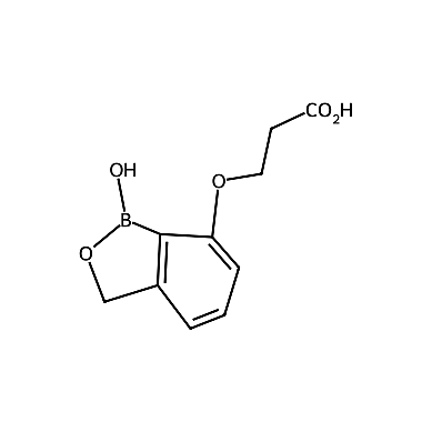 O=C(O)CCOc1cccc2c1B(O)OC2